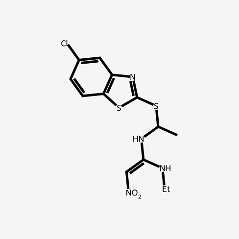 CCN/C(=C\[N+](=O)[O-])NC(C)Sc1nc2cc(Cl)ccc2s1